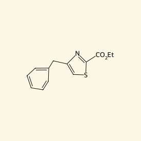 CCOC(=O)c1nc(Cc2ccccc2)cs1